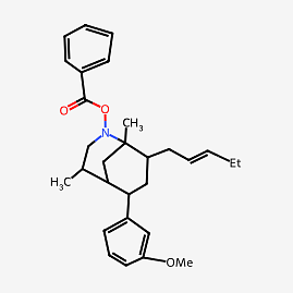 CCC=CCC1CC(c2cccc(OC)c2)C2CC1(C)N(OC(=O)c1ccccc1)CC2C